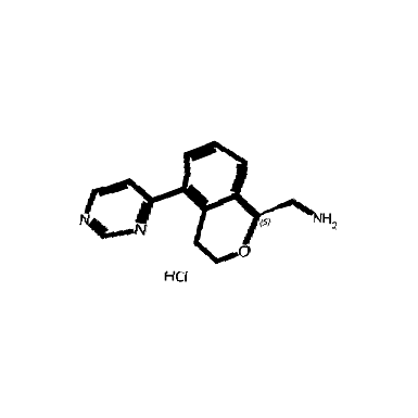 Cl.NC[C@H]1OCCc2c(-c3ccncn3)cccc21